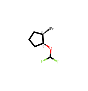 CC(C)[C@@H]1CCC[C@@H]1OC(F)F